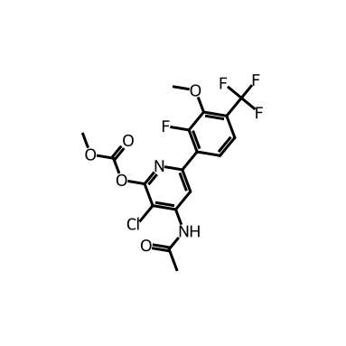 COC(=O)Oc1nc(-c2ccc(C(F)(F)F)c(OC)c2F)cc(NC(C)=O)c1Cl